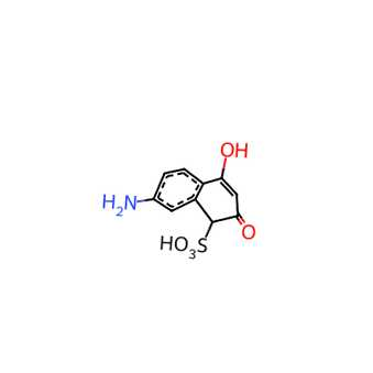 Nc1ccc2c(c1)C(S(=O)(=O)O)C(=O)C=C2O